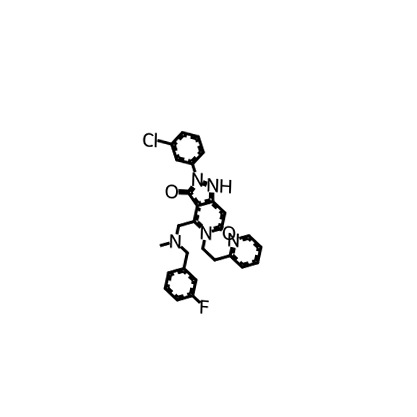 CN(Cc1cccc(F)c1)Cc1c2c(=O)n(-c3cccc(Cl)c3)[nH]c2cc(=O)n1CCc1ccccn1